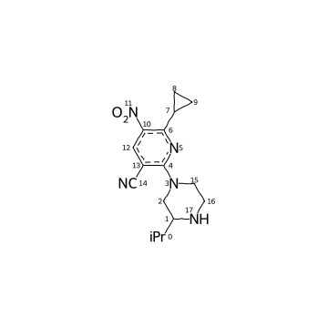 CC(C)C1CN(c2nc(C3CC3)c([N+](=O)[O-])cc2C#N)CCN1